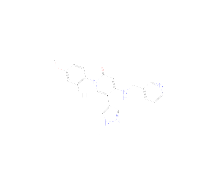 CCOc1ccc(-n2cc(-c3cnn(C)c3)c(NCc3cccnc3)cc2=O)c(C)c1